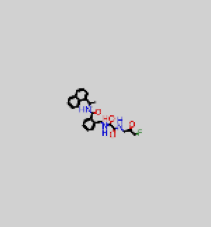 C[C@@H](NC(=O)c1ccccc1CNC(O)C(=O)NCC(=O)CF)c1cccc2ccccc12